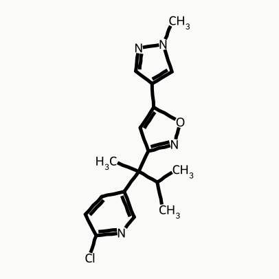 CC(C)C(C)(c1ccc(Cl)nc1)c1cc(-c2cnn(C)c2)on1